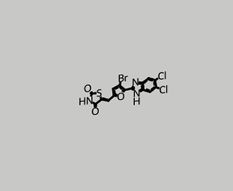 O=C1NC(=O)C(=Cc2cc(Br)c(-c3nc4cc(Cl)c(Cl)cc4[nH]3)o2)S1